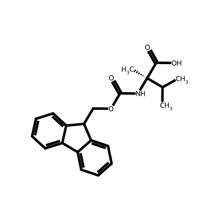 CC(C)[C@@](C)(NC(=O)OCC1c2ccccc2-c2ccccc21)C(=O)O